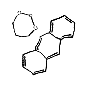 C1COOOC1.c1ccc2cc3ccccc3cc2c1